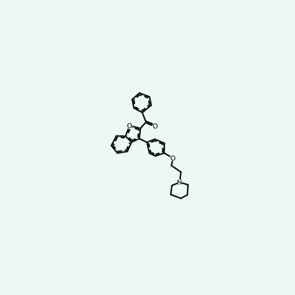 O=C(c1ccccc1)c1oc2ccccc2c1-c1ccc(OCCN2CCCCC2)cc1